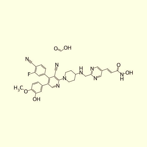 COc1ccc(-c2cnc(N3CCC(NCc4ncc(/C=C/C(=O)NO)cn4)CC3)c(C#N)c2-c2ccc(C#N)c(F)c2)cc1O.O=CO